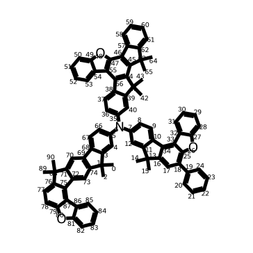 CC1(C)c2cc(N(c3ccc4c(c3)C(C)(C)c3cc(-c5ccccc5)c5oc6ccccc6c5c3-4)c3ccc4c(c3)C(C)(C)c3c5c(c6oc7ccccc7c6c3-4)-c3ccccc3C5(C)C)ccc2-c2cc3c(cc21)-c1c(ccc2oc4ccccc4c12)C3(C)C